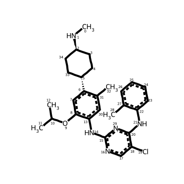 CN[C@H]1CC[C@H](c2cc(OC(C)C)c(Nc3ncc(Cl)c(Nc4ccccc4C)n3)cc2C)CC1